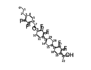 CCCc1ccc(COc2ccc(C3=CCC(c4ccc(C(C)O)c(F)c4F)CC3)c(F)c2F)c(F)c1F